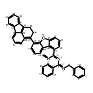 C=N/C(=N\C(=N/Cc1ccccc1)c1ccccc1)c1cccc2oc3c(C4=c5cccc6c5=C(CC4)c4ccccc4-6)cccc3c12